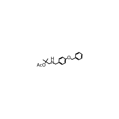 CC(=O)OC(C)(C)CNCc1ccc(OCc2ccccc2)cc1